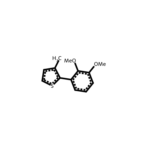 COc1cccc(-c2sccc2C)c1OC